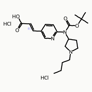 CCCCN1CCC(N(C(=O)OC(C)(C)C)c2ccc(/C=C/C(=O)O)cn2)C1.Cl.Cl